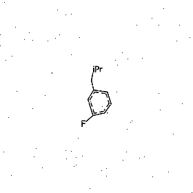 CC(C)Cc1cc[c]c(F)c1